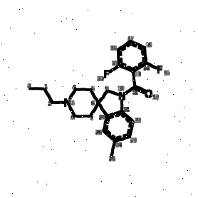 CCCN1CCC2(CC1)CN(C(=O)c1c(F)cccc1F)c1ccc(C)cc12